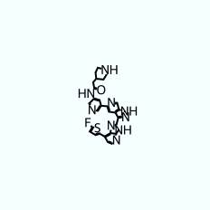 O=C(CC1CCNCC1)Nc1cncc(-c2cc3c(-c4nc5c(-c6ccc(F)s6)ccnc5[nH]4)n[nH]c3cn2)c1